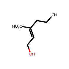 N#CCCC(=CCO)C(=O)O